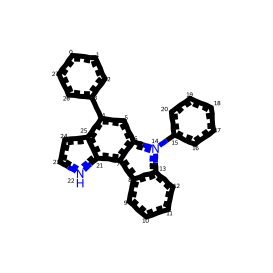 c1ccc(-c2cc3c(c4ccccc4n3-c3ccccc3)c3[nH]ccc23)cc1